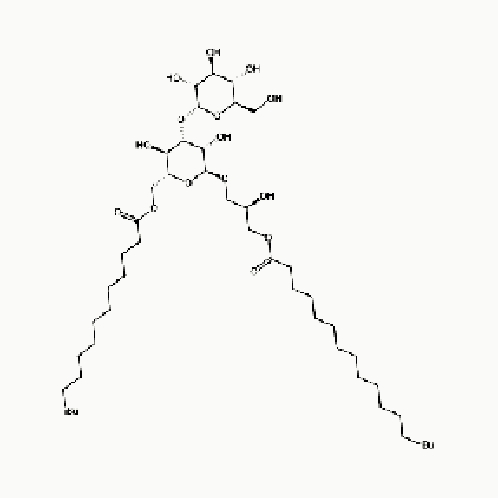 CCC(C)CCCCCCCCCCCCC(=O)OC[C@H](O)CO[C@H]1O[C@H](COC(=O)CCCCCCCCCCC(C)CC)[C@@H](O)[C@H](O[C@H]2O[C@H](CO)[C@@H](O)[C@H](O)[C@H]2O)[C@@H]1O